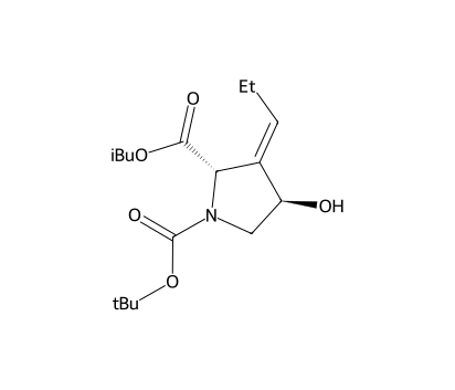 CC/C=C1\[C@@H](C(=O)OCC(C)C)N(C(=O)OC(C)(C)C)C[C@@H]1O